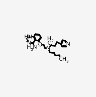 C=C(CCc1ccncc1)N(CCCCC)CCOc1cccc2c1C(N)=NSN2